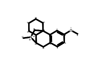 COc1ccc2c(c1)C13CCCCC1C(C2)N(C)C3